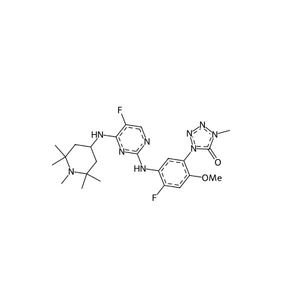 COc1cc(F)c(Nc2ncc(F)c(NC3CC(C)(C)N(C)C(C)(C)C3)n2)cc1-n1nnn(C)c1=O